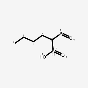 CCCCC(P=O)[PH](=O)O